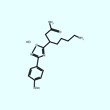 CCCCCCCCCCc1ccc(-c2noc(C(CCCCN)CC(N)=O)n2)cc1.Cl